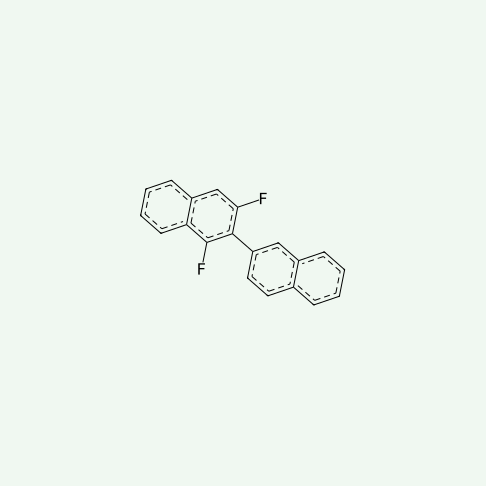 Fc1cc2ccccc2c(F)c1-c1ccc2ccccc2c1